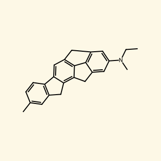 CCN(C)c1cc2c3c(c1)Cc1c4c(cc(c1-3)C2)-c1ccc(C)cc1C4